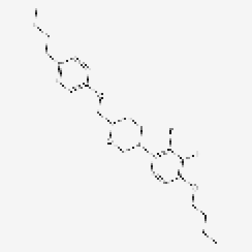 CCCCOc1ccc(C2CCC(COc3ccc(CCCC)cc3)OC2)c(F)c1F